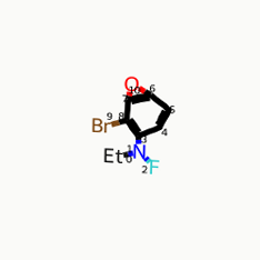 CCN(F)c1ccc2c(c1Br)O2